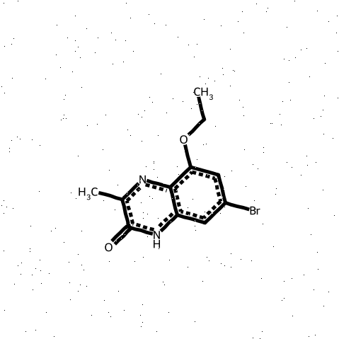 CCOc1cc(Br)cc2[nH]c(=O)c(C)nc12